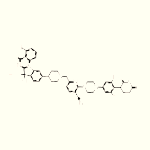 CC1(C)c2ccc(C3CCN(Cc4ccc(C#N)c(N5CCN(c6cc(F)c(C7CCC(=O)NC7=O)c(F)c6)CC5)n4)CC3)cc2-n2c1nc(=O)c1c(Cl)cccc12